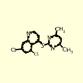 Cc1cc(C)nc(Sc2ccnc3cc(Cl)cc(Cl)c23)n1